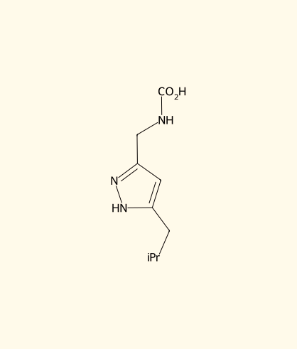 CC(C)Cc1cc(CNC(=O)O)n[nH]1